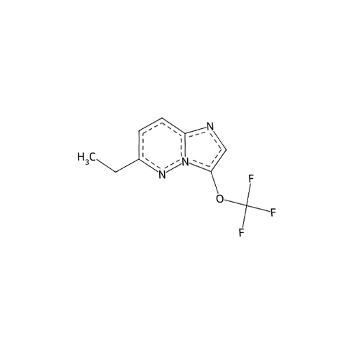 CCc1ccc2ncc(OC(F)(F)F)n2n1